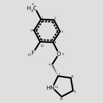 Cc1ccc(OC[C@@H]2CCCN2)c(F)c1